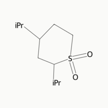 CC(C)C1CCS(=O)(=O)C(C(C)C)C1